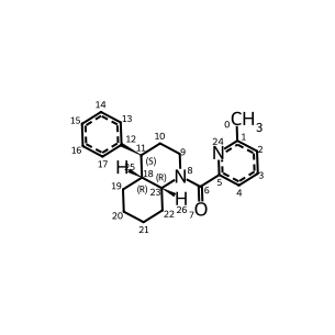 Cc1cccc(C(=O)N2CC[C@H](c3ccccc3)[C@H]3CCCC[C@H]32)n1